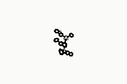 c1ccc(-c2ccc3c(-n4c5ccccc5c5cc6ccccc6cc54)ccc(-c4nc(-c5ccccc5)nc(-c5ccc6c(c5)sc5ccccc56)n4)c3c2)cc1